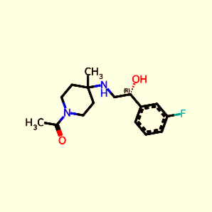 CC(=O)N1CCC(C)(NC[C@H](O)c2cccc(F)c2)CC1